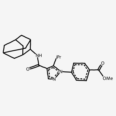 COC(=O)c1ccc(-n2ncc(C(=O)NC3C4CC5CC(C4)CC3C5)c2C(C)C)cc1